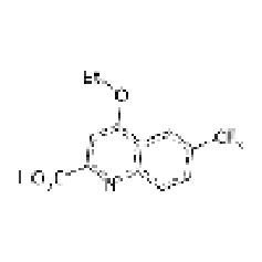 CCOc1cc(C(=O)O)nc2ccc(C(F)(F)F)cc12